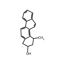 CC1CC(O)Cc2ccc3c(ccc4ccccc43)c21